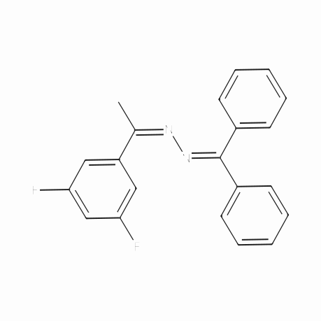 CC(=NN=C(c1ccccc1)c1ccccc1)c1cc(F)cc(F)c1